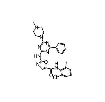 Cc1cccc(Cl)c1NC(=O)c1cnc(Nc2nc(-c3ccccc3)nc(N3CCN(C)CC3)n2)o1